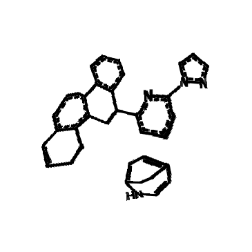 C1=CC2=CC=C(CC2)N1.C1=Cc2ccc3c(c2CC1)CC(c1cccc(-n2cccn2)n1)c1ccccc1-3